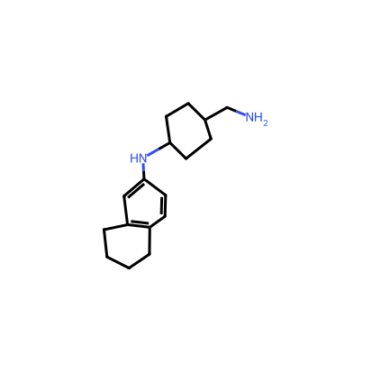 NCC1CCC(Nc2ccc3c(c2)CCCC3)CC1